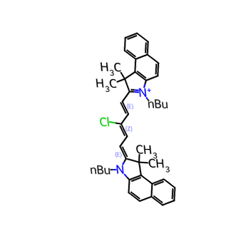 CCCCN1/C(=C/C=C(Cl)/C=C/C2=[N+](CCCC)c3ccc4ccccc4c3C2(C)C)C(C)(C)c2c1ccc1ccccc21